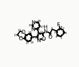 O=C(Cc1ccccc1F)Nc1onc(-c2ccc3c(c2)OCCO3)c1-c1ccncn1